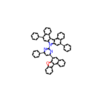 c1ccc(-c2cc(-c3cc4ccccc4c4c3oc3ccccc34)nc(-n3c4cc(-c5ccccc5)c5ccccc5c4c4c5ccccc5c(-c5ccccc5)cc43)n2)cc1